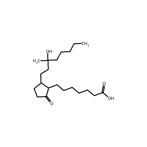 CCCCCC(C)(O)CCC1CCC(=O)C1CCCCCCC(=O)O